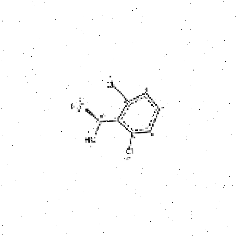 C[C@H](O)c1c(Cl)cccc1Cl